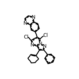 Clc1nc2c(C3=CCCCC3)c(-c3ccccc3)nn2c(Cl)c1-c1ccc2nccnc2c1